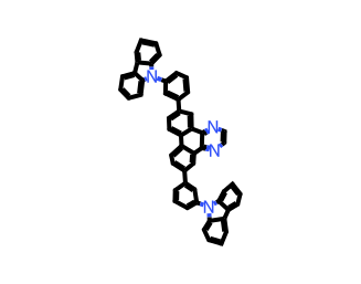 c1cc(-c2ccc3c4ccc(-c5cccc(-n6c7ccccc7c7ccccc76)c5)cc4c4nccnc4c3c2)cc(-n2c3ccccc3c3ccccc32)c1